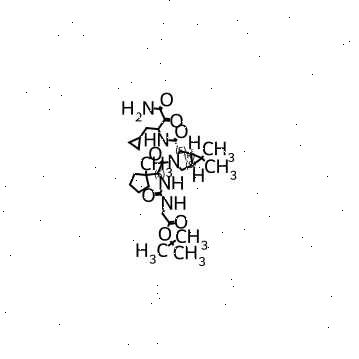 CC(C)(C)OC(=O)CNC(=O)N[C@H](C(=O)N1C[C@H]2[C@@H]([C@H]1C(=O)NC(CC1CC1)C(=O)C(N)=O)C2(C)C)C1(C)CCCC1